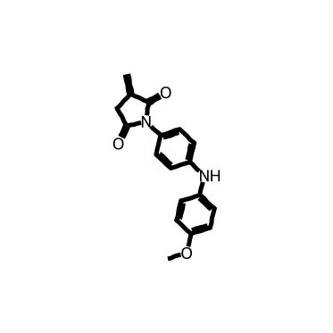 C=C1CC(=O)N(c2ccc(Nc3ccc(OC)cc3)cc2)C1=O